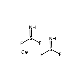 N=S(F)F.N=S(F)F.[Ca]